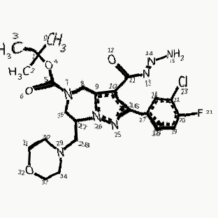 CC(C)(C)OC(=O)N1Cc2c(C(=O)N=NN)c(-c3ccc(F)c(Cl)c3)nn2C(CN2CCOCC2)C1